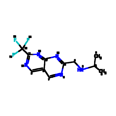 CC(C)NCc1ncc2cnc(C(F)(F)F)nc2n1